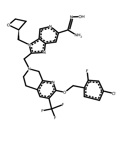 N/C(=N\O)c1cc2nc(CN3CCc4cc(C(F)(F)F)c(OCc5ccc(Cl)cc5F)nc4C3)n(C[C@@H]3CCO3)c2cn1